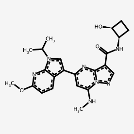 CNc1cc(-c2cn(C(C)C)c3nc(OC)ccc23)nc2c(C(=O)N[C@@H]3CC[C@@H]3O)cnn12